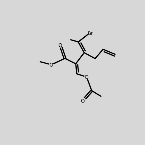 C=CCC(/C(=C\OC(C)=O)C(=O)OC)=C(/C)Br